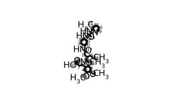 COc1ccc(C(CC(=O)O)NC(=O)C(CC(=O)Nc2ccc(NC(=O)Nc3ncccc3C)cc2)CC(C)C)cc1OC